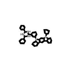 c1ccc(C2NC(c3ccccc3)NC(c3cccc(-n4c5ccccc5c5cc6c7ccccc7n(-c7ccccc7)c6cc54)c3)N2)cc1